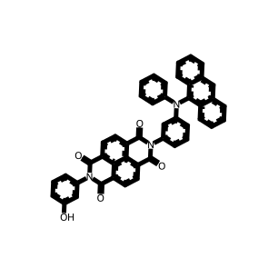 O=C1c2ccc3c4c(ccc(c24)C(=O)N1c1cccc(O)c1)C(=O)N(c1cccc(N(c2ccccc2)c2c4ccccc4cc4ccccc24)c1)C3=O